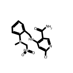 CN(C[SH](=O)=O)c1ccccc1CNc1cc(Cl)ncc1C(N)=O